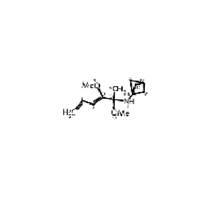 C=CC=C(OC)C(C)(NC12CC(C1)C2)OC